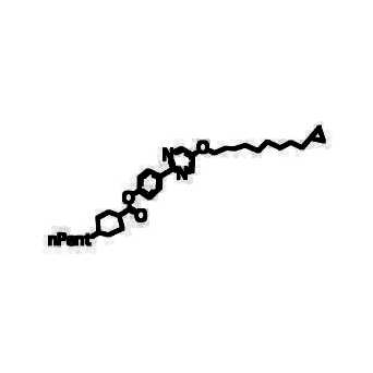 CCCCCC1CCC(C(=O)Oc2ccc(-c3ncc(OCCCCCCCCCC4CC4)cn3)cc2)CC1